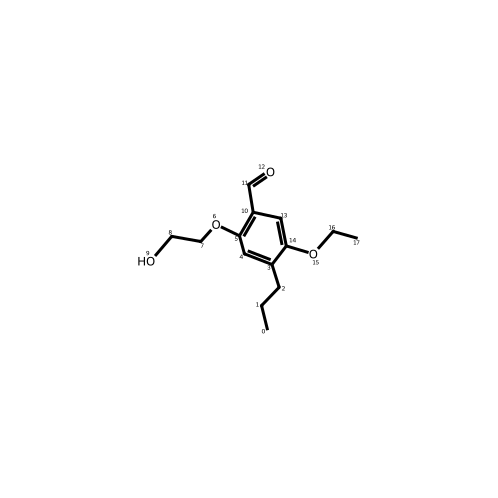 CCCc1cc(OCCO)c(C=O)cc1OCC